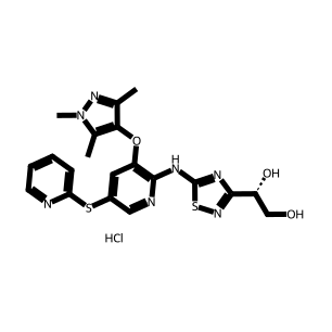 Cc1nn(C)c(C)c1Oc1cc(Sc2ccccn2)cnc1Nc1nc([C@H](O)CO)ns1.Cl